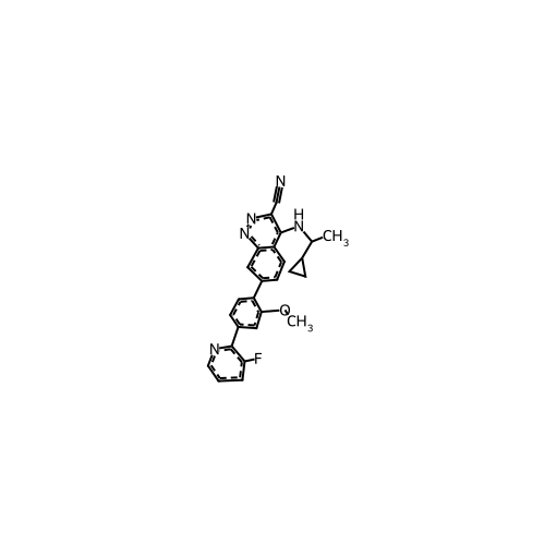 COc1cc(-c2ncccc2F)ccc1-c1ccc2c(NC(C)C3CC3)c(C#N)nnc2c1